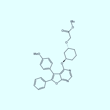 COc1ccc(-c2c(-c3ccccc3)oc3ncnc(O[C@@H]4CCC[C@@H](OCC(=O)OC(C)(C)C)C4)c23)cc1